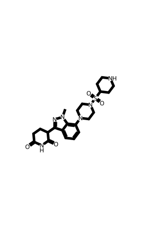 Cn1nc(C2CCC(=O)NC2=O)c2cccc(N3CCN(S(=O)(=O)C4CCNCC4)CC3)c21